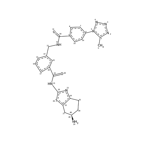 Cc1nnnn1-c1ccc(C(=O)NCc2cccc(C(=O)Nc3nc4c(s3)C[C@H](N)CC4)c2)cc1